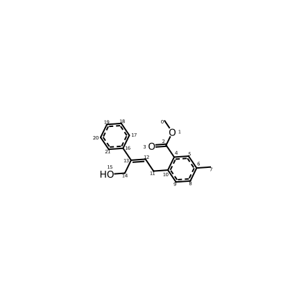 COC(=O)c1cc(C)ccc1C/C=C(\CO)c1ccccc1